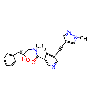 CN(C[C@@H](O)Cc1ccccc1)C(=O)c1cncc(C#Cc2cnn(C)c2)c1